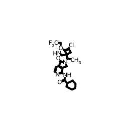 CC(N1Cc2c(ccnc2NC(=O)C2CCCCC2)C1=O)C1(C=N)CC(Cl)=C1OCC(F)(F)F